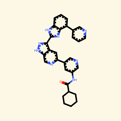 O=C(Nc1cncc(-c2cc3c(-c4nc5c(-c6cccnc6)cccc5[nH]4)n[nH]c3cn2)c1)C1CCCCC1